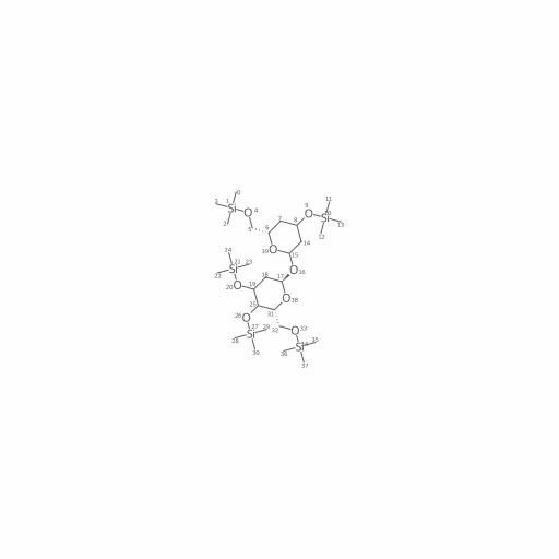 C[Si](C)(C)OC[C@@H]1CC(O[Si](C)(C)C)CC(O[C@@H]2CC(O[Si](C)(C)C)C(O[Si](C)(C)C)[C@@H](CO[Si](C)(C)C)O2)O1